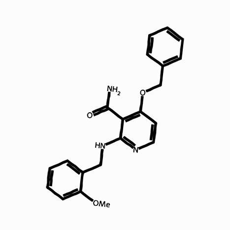 COc1ccccc1CNc1nccc(OCc2ccccc2)c1C(N)=O